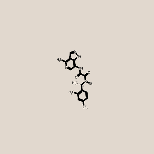 CCN(C(=O)C(=O)Nc1cnc(N)c2cn[nH]c12)[C@@H](C)c1ccc(C(F)(F)F)cc1C